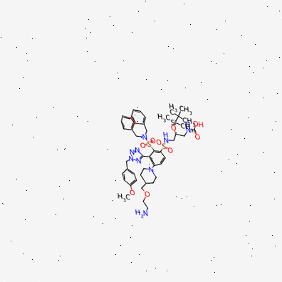 COc1ccc(Cn2nnc(-c3c(N4CCC(COCCN)CC4)ccc(S(=O)(=O)NCC(CNC(=O)O)O[Si](C)(C)C(C)(C)C)c3S(=O)(=O)N(Cc3ccccc3)Cc3ccccc3)n2)cc1